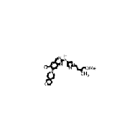 C=C(CCn1cc(Nc2ncc3cc(Cl)c(N4CCC5(CCOC5)CC4)cc3n2)cn1)COC